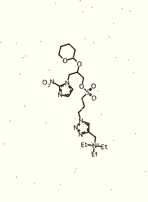 CC[N+](CC)(CC)Cc1cn(CCCS(=O)(=O)OCC(Cn2ccnc2[N+](=O)[O-])OC2CCCCO2)nn1